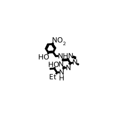 CCC(Nc1nc(NCc2cc([N+](=O)[O-])ccc2O)c2ncn(C)c2n1)C(C)O